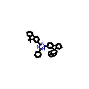 CC1(C)c2ccccc2-c2ccc(-c3nc(-c4ccccc4)nc(-c4ccc5c(c4)C4(c6ccccc6-5)C5CC6CC(C5)CC4C6)n3)cc21